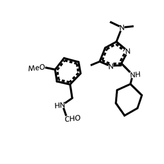 COc1cccc(CNC=O)c1.Cc1cc(N(C)C)nc(NC2CCCCC2)n1